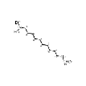 CCN(CC)CCCCCCCCCCO[C]=O